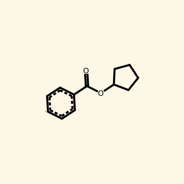 O=C(OC1CCCC1)c1cc[c]cc1